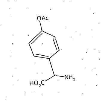 CC(=O)Oc1ccc(C(N)C(=O)O)cc1